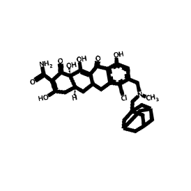 CN(Cc1cc(O)c2c(c1Cl)CC1C[C@H]3CC(O)=C(C(N)=O)C(=O)[C@@]3(O)C(O)=C1C2=O)CC12CC3CC(CC(C3)C1)C2